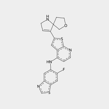 Fc1cc2scnc2cc1Nc1ccnc2sc(C3=CCNC34CCOC4)cc12